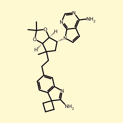 CC1(C)O[C@H]2[C@H](n3ccc4c(N)ncnc43)CC(C)(CCc3ccc4c(c3)N=C(N)C43CCC3)[C@H]2O1